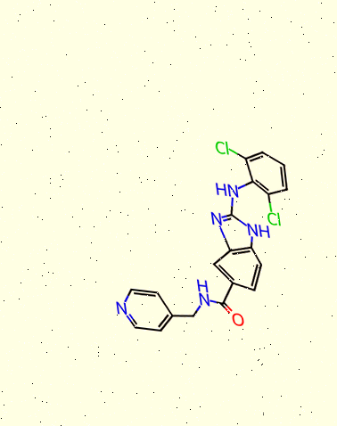 O=C(NCc1ccncc1)c1ccc2[nH]c(Nc3c(Cl)cccc3Cl)nc2c1